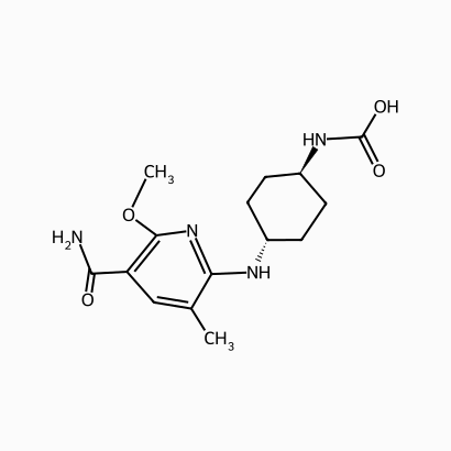 COc1nc(N[C@H]2CC[C@H](NC(=O)O)CC2)c(C)cc1C(N)=O